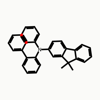 CC1(C)c2ccccc2-c2ccc(N(c3ccccc3)c3ccccc3-c3ccccc3)cc21